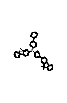 CC1(C)c2ccccc2-c2ccc(-c3ccc(N(c4ccc(-c5ccccc5)cc4)c4ccc5c(c4)sc4ccccc45)cc3)cc21